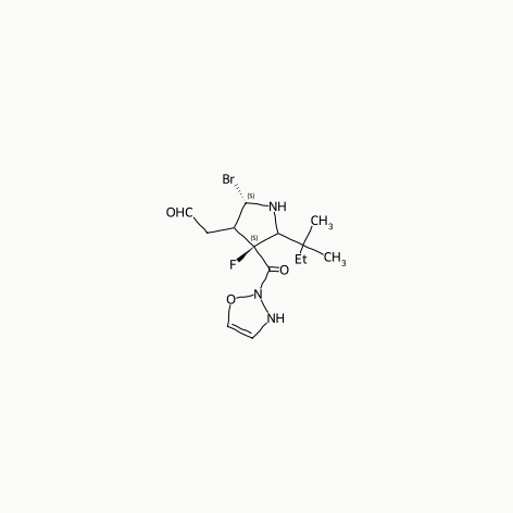 CCC(C)(C)C1N[C@@H](Br)C(CC=O)[C@@]1(F)C(=O)N1NC=CO1